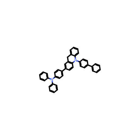 c1ccc(-c2ccc(N3c4ccccc4Cc4cc(-c5ccc(N(c6ccccc6)c6ccccc6)cc5)ccc43)cc2)cc1